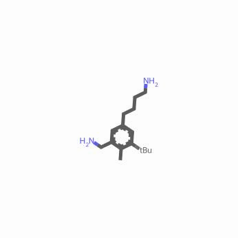 Cc1c(CN)cc(CCCCN)cc1C(C)(C)C